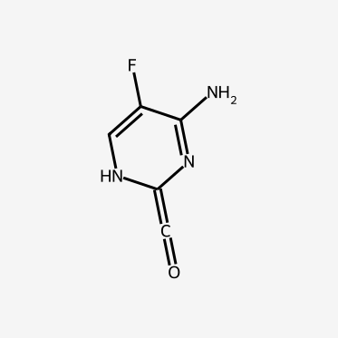 NC1=NC(=C=O)NC=C1F